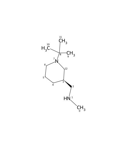 CNC[C@H]1CCCN(C(C)(C)C)C1